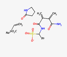 C=C(C(=C)C(=O)NC(C(C)C)S(=O)(=O)[O-])C(N)=O.C=CC(=O)O.O=C1CCCN1.[Na+]